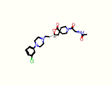 CC(=O)NCC(=O)N1CCC2(CC1)C[C@H](CCN1CCN(c3cccc(Cl)c3)CC1)OC2=O